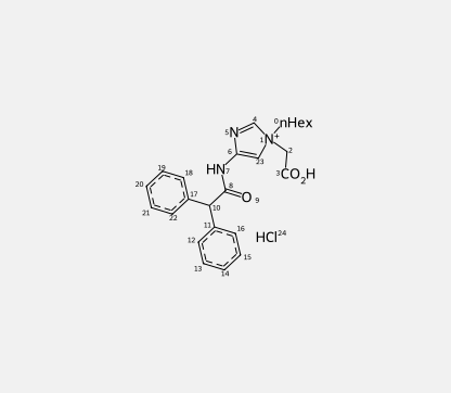 CCCCCC[N+]1(CC(=O)O)C=NC(NC(=O)C(c2ccccc2)c2ccccc2)=C1.Cl